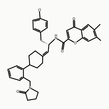 Cc1cc2oc(C(=O)N[C@H](C=C3CCC(c4ccccc4CN4CCCC4=O)CC3)Cc3ccc(Cl)cc3)cc(=O)c2cc1C